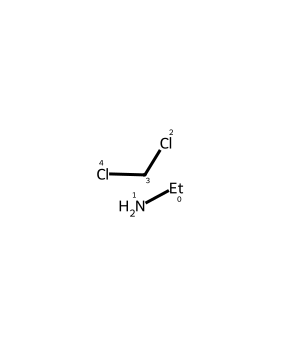 CCN.ClCCl